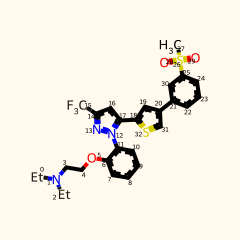 CCN(CC)CCOc1ccccc1-n1nc(C(F)(F)F)cc1-c1cc(-c2cccc(S(C)(=O)=O)c2)cs1